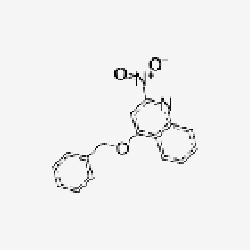 O=[N+]([O-])c1cc(OCc2ccccc2)c2ccccc2n1